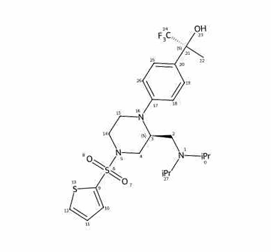 CC(C)N(C[C@H]1CN(S(=O)(=O)c2cccs2)CCN1c1ccc([C@](C)(O)C(F)(F)F)cc1)C(C)C